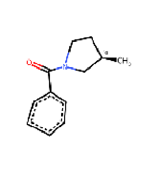 C[C@@H]1CCN(C(=O)c2ccccc2)C1